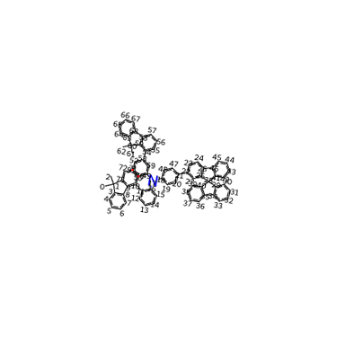 CC1(C)c2ccccc2-c2c(-c3ccccc3N(c3ccc(-c4ccc5c(c4)C4(c6ccccc6-c6ccccc64)c4ccccc4-5)cc3)c3cccc(-c4cccc5c4C(C)(C)c4ccccc4-5)c3)cccc21